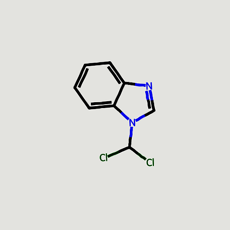 ClC(Cl)n1cnc2ccccc21